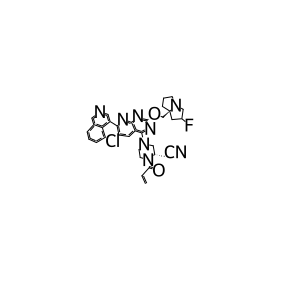 C=CC(=O)N1CCN(c2nc(OC[C@@]34CCCN3CC(F)C4)nc3nc(-c4cncc5cccc(Cl)c45)ccc23)C[C@@H]1CC#N